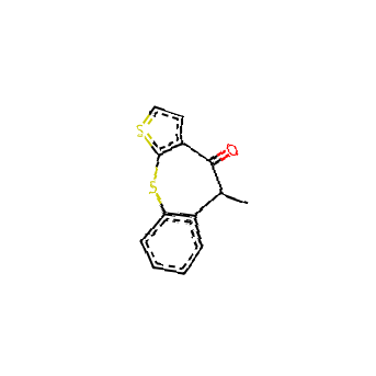 CC1C(=O)c2ccsc2Sc2ccccc21